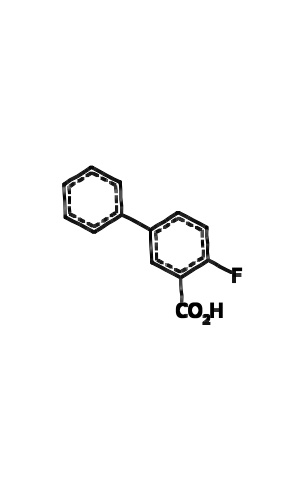 O=C(O)c1cc(-c2ccccc2)ccc1F